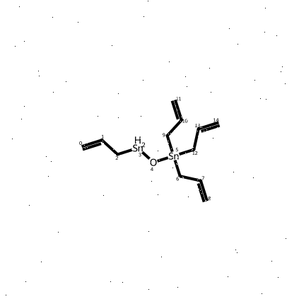 C=C[CH2][SnH2][O][Sn]([CH2]C=C)([CH2]C=C)[CH2]C=C